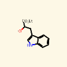 CCOC(=O)C([O])Cc1c[nH]c2ccccc12